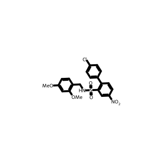 COc1ccc(CNS(=O)(=O)c2cc([N+](=O)[O-])ccc2-c2ccc(Cl)cc2)c(OC)c1